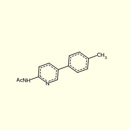 CC(=O)Nc1ccc(-c2ccc(C)cc2)cn1